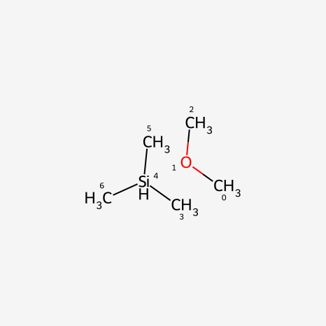 COC.C[SiH](C)C